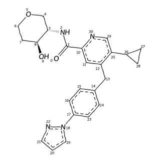 O=C(N[C@H]1COCC[C@@H]1O)c1cc(Cc2ccc(-n3cccn3)cc2)c(C2CC2)cn1